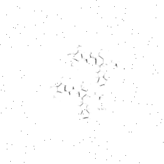 C=C(C(=O)c1cc(OC)c(OC)c(OC)c1)c1cc(-c2cc3ccccc3s2)c(OCC(=O)[O-])cc1OC.C=C(C(=O)c1cc(OC)c(OC)c(OC)c1)c1cc(-c2cc3ccccc3s2)c(OCC(=O)[O-])cc1OC.[Na+].[Na+]